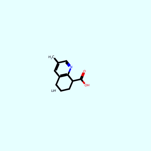 Cc1cnc2c(c1)CCCC2C(=O)O.[LiH]